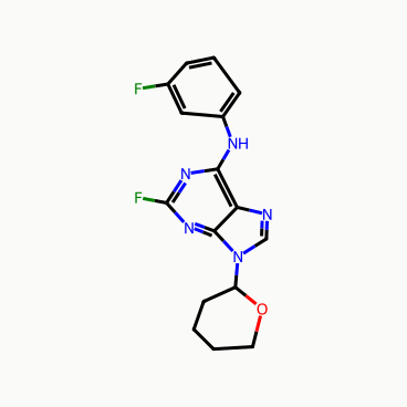 Fc1cccc(Nc2nc(F)nc3c2ncn3C2CCCCO2)c1